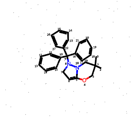 CC1(C)COC2=CCN(C(c3ccccc3)(c3ccccc3)c3ccccc3)N2C1